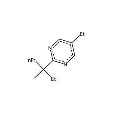 CCCC(C)(CC)c1ncc(CC)cn1